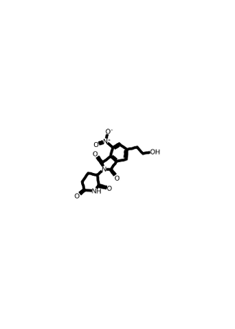 O=C1CCC(N2C(=O)c3cc(CCO)cc([N+](=O)[O-])c3C2=O)C(=O)N1